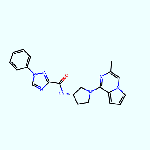 Cc1cn2cccc2c(N2CC[C@H](NC(=O)c3ncn(-c4ccccc4)n3)C2)n1